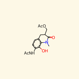 CC(=O)Nc1ccc2c(c1O)N(C)C(=O)C(COC(C)=O)C2